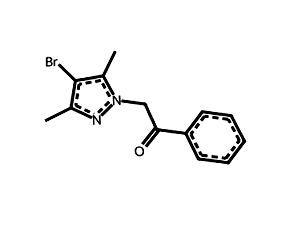 Cc1nn(CC(=O)c2ccccc2)c(C)c1Br